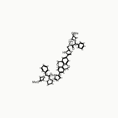 CCCN(Cc1ncc(-c2cc3c4c(c2)OCc2cc(-c5cnc([C@@H]6CCCN6C(=O)[C@@H](c6ccccc6)N6CC(OC)C6)[nH]5)cc(c2-4)OC3)[nH]1)C(=O)C(c1ccccc1)N1CC(OC)C1